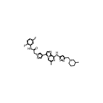 Cc1cn2c(-c3cnn(CC(=O)Nc4cc(F)ccc4F)c3)cnc2c(Nc2cc(CN3CCCC(C)C3)ns2)n1